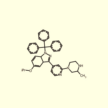 CC1CN(c2cc(C3=NN(C(c4ccccc4)(c4ccccc4)c4ccccc4)C4C=CC(OC(C)C)=CC34)ccn2)CCN1